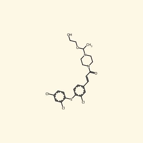 CC(OCCO)N1CCN(C(=O)C=Cc2ccc(Sc3ccc(Cl)cc3Cl)c(Cl)c2)CC1